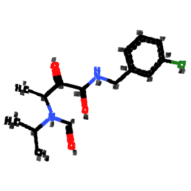 CC(C)N(C=O)C(C)C(=O)C(=O)NCc1cccc(Cl)c1